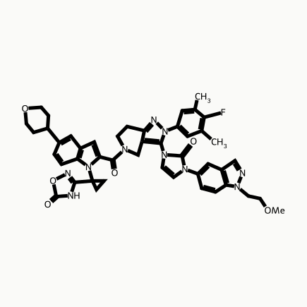 COCCn1ncc2cc(-n3ccn(-c4c5c(nn4-c4cc(C)c(F)c(C)c4)CCN(C(=O)c4cc6cc(C7CCOCC7)ccc6n4C4(c6noc(=O)[nH]6)CC4)C5)c3=O)ccc21